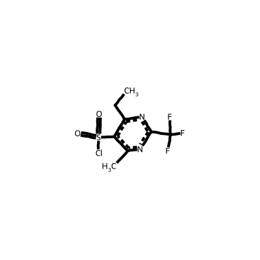 CCc1nc(C(F)(F)F)nc(C)c1S(=O)(=O)Cl